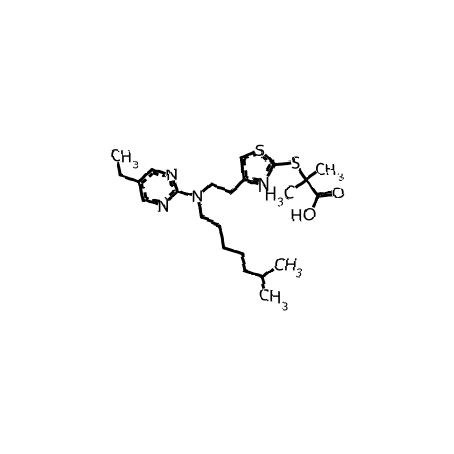 CCc1cnc(N(CCCCCC(C)C)CCc2csc(SC(C)(C)C(=O)O)n2)nc1